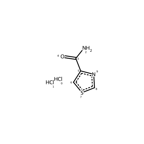 Cl.Cl.NC(=O)c1cscn1